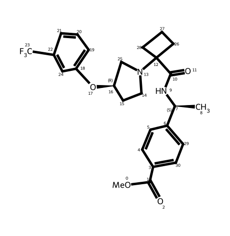 COC(=O)c1ccc([C@H](C)NC(=O)C2(N3CC[C@@H](Oc4cccc(C(F)(F)F)c4)C3)CCC2)cc1